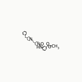 CCOC(=O)c1cccc(NC(=O)N2CCC(CCN3CCC(Cc4ccccc4)CC3)CC2)c1